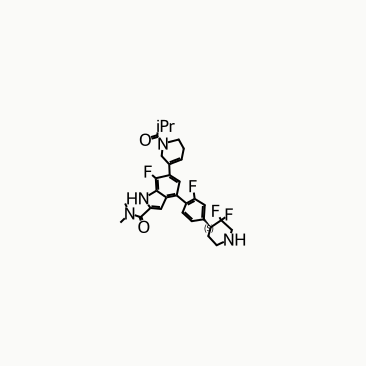 CC(C)C(=O)N1CCC=C(c2cc(-c3ccc([C@@H]4CCNCC4(F)F)cc3F)c3cc(C(=O)N(C)C)[nH]c3c2F)C1